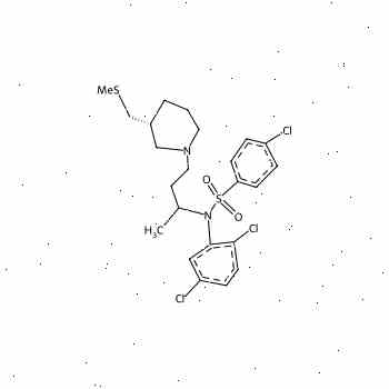 CSC[C@@H]1CCCN(CCC(C)N(c2cc(Cl)ccc2Cl)S(=O)(=O)c2ccc(Cl)cc2)C1